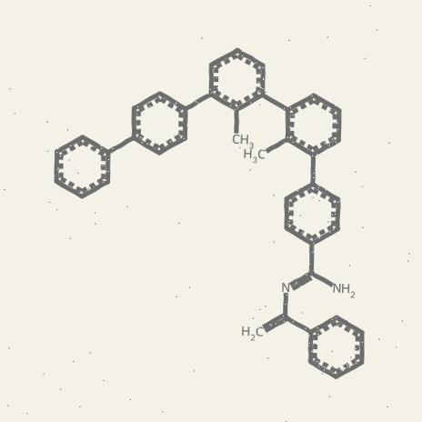 C=C(/N=C(\N)c1ccc(-c2cccc(-c3cccc(-c4ccc(-c5ccccc5)cc4)c3C)c2C)cc1)c1ccccc1